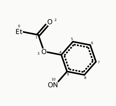 CCC(=O)Oc1ccccc1N=O